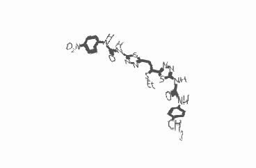 CCSC(Cc1nnc(NC(=O)Nc2ccc([N+](=O)[O-])cc2)s1)c1nnc(NC(=O)Nc2ccc(C)cc2)s1